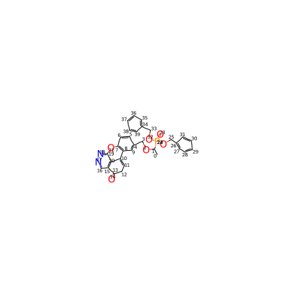 CC(OCc1ccc2c(c1)C1=CCC(=O)c3cnnc(c31)O2)P(=O)(OCc1ccccc1)OCc1ccccc1